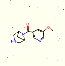 COc1cncc(C(=O)N2C3CNCC2C3)c1